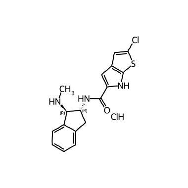 CN[C@@H]1c2ccccc2C[C@H]1NC(=O)c1cc2cc(Cl)sc2[nH]1.Cl